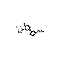 COc1cccc(-c2ccc(=O)n(C(C)C#N)n2)c1